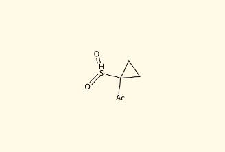 CC(=O)C1([SH](=O)=O)CC1